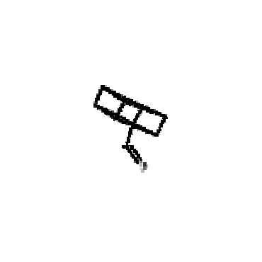 O=[C]C12C3C4C5C3C1C5C42